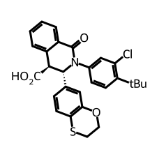 CC(C)(C)c1ccc(N2C(=O)c3ccccc3[C@H](C(=O)O)[C@H]2c2ccc3c(c2)OCCS3)cc1Cl